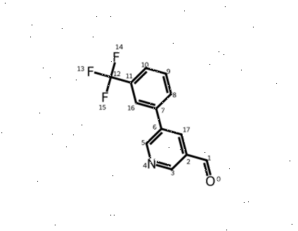 O=Cc1cncc(-c2cccc(C(F)(F)F)c2)c1